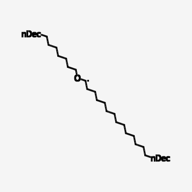 CCCCCCCCCCCCCCCCCCCCCCC[CH]OCCCCCCCCCCCCCCCCC